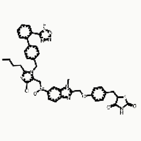 CCCCc1nc(Cl)c(C[S+]([O-])c2ccc3nc(COc4ccc(CC5SC(=O)NC5=O)cc4)n(C)c3c2)n1Cc1ccc(-c2ccccc2-c2nnn[nH]2)cc1